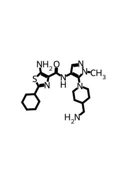 Cn1ncc(NC(=O)c2nc(C3CCCCC3)sc2N)c1N1CCC(CN)CC1